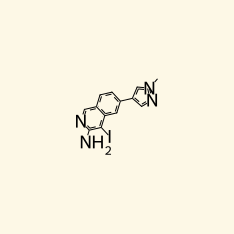 Cn1cc(-c2ccc3cnc(N)c(I)c3c2)cn1